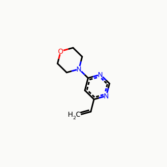 C=Cc1cc(N2CCOCC2)ncn1